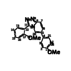 COc1ccc(-c2ccc3nnc(-c4ccccc4OC)n3c2)cn1